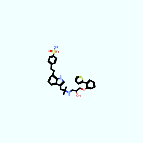 CC(C)(Cc1c[nH]c2c(CCc3ccc(S(N)(=O)=O)cc3)cccc12)NC[C@H](O)COc1ccccc1-c1cccs1